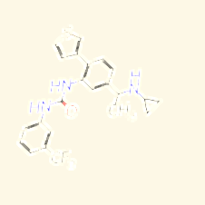 CC(NC1CC1)c1ccc(-c2ccsc2)c(NC(=O)Nc2cccc(C(F)(F)F)c2)c1